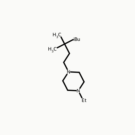 CCC(C)C(C)(C)CCN1CCN(CC)CC1